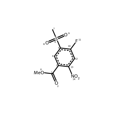 COC(=O)c1cc(S(C)(=O)=O)c(F)cc1[N+](=O)[O-]